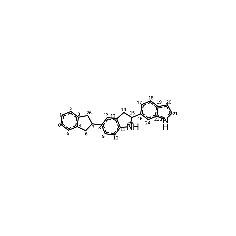 c1ccc2c(c1)CC(c1ccc3c(c1)CC(c1ccc4cc[nH]c4c1)N3)C2